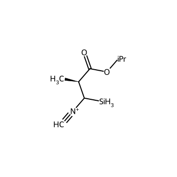 C#[N+]C([SiH3])[C@@H](C)C(=O)OC(C)C